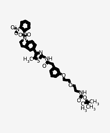 Cc1sc(NC(=O)Cc2cccc(OCCOCCNC(=O)OC(C)(C)C)c2)nc1-c1ccc2c(c1)CCN2S(=O)(=O)c1ccccc1[N+](=O)[O-]